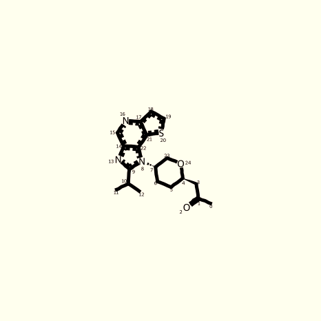 CC(=O)C[C@H]1CC[C@H](n2c(C(C)C)nc3cnc4ccsc4c32)CO1